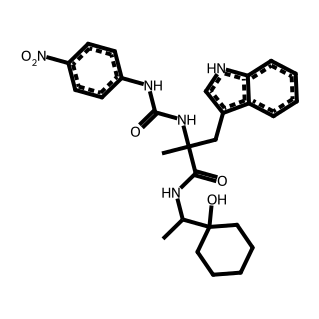 CC(NC(=O)C(C)(Cc1c[nH]c2ccccc12)NC(=O)Nc1ccc([N+](=O)[O-])cc1)C1(O)CCCCC1